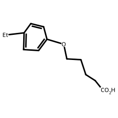 CCc1ccc(OCCCCC(=O)O)cc1